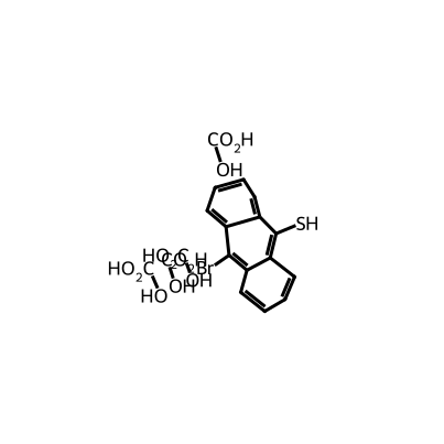 O=C(O)O.O=C(O)O.O=C(O)O.O=C(O)O.Sc1c2ccccc2c(Br)c2ccccc12